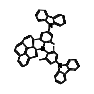 Cc1cc(-n2c3ccccc3c3ccccc32)cc(C)c1B1c2c(C)cc(-n3c4ccccc4c4ccccc43)cc2-c2ccc3ccc4cccc5cc1c2c3c45